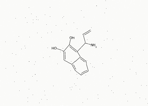 C=CC(N)c1c(O)c(O)cc2ccccc12